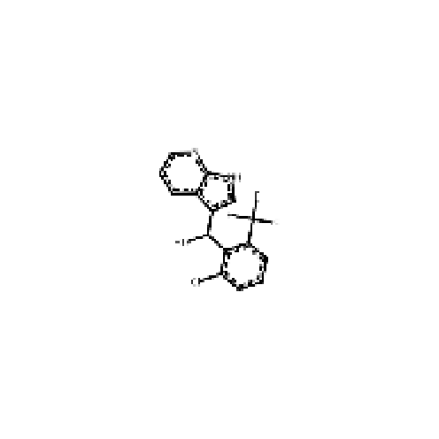 OC(c1c(Cl)cccc1C(F)(F)F)c1c[nH]c2ncccc12